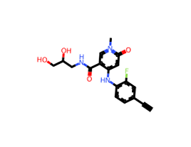 C#Cc1ccc(Nc2cc(=O)n(C)cc2C(=O)NCC(O)CO)c(F)c1